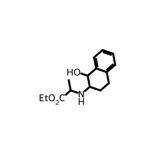 CCOC(=O)C(C)NC1CCc2ccccc2C1O